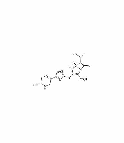 CC(C)[C@@H]1CC=C(c2csc(SC3=C(C(=O)O)N4C(=O)[C@H]([C@@H](C)O)[C@H]4[C@H]3C)n2)CN1